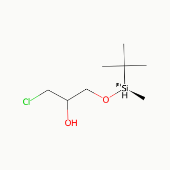 C[Si@@H](OCC(O)CCl)C(C)(C)C